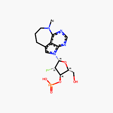 CC(=O)N1CCCc2cn([C@@H]3O[C@H](CO)[C@@H](O[PH](=O)O)[C@@H]3F)c3ncnc1c23